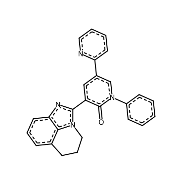 O=c1c(-c2nc3cccc4c3n2CCC4)cc(-c2ccccn2)cn1-c1ccccc1